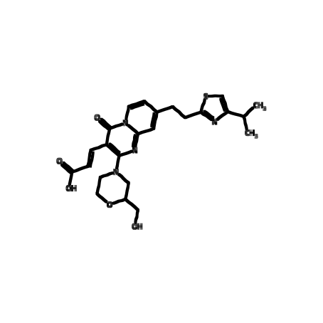 CC(C)c1csc(CCc2ccn3c(=O)c(/C=C/C(=O)O)c(N4CCOC(CO)C4)nc3c2)n1